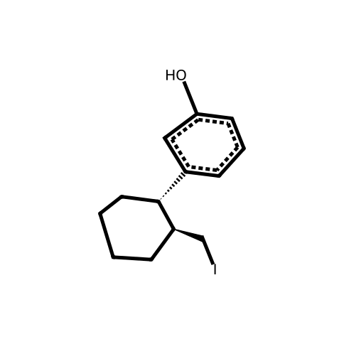 Oc1cccc([C@H]2CCCC[C@@H]2CI)c1